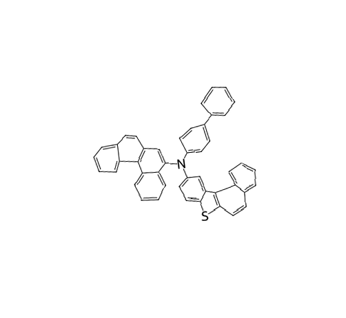 c1ccc(-c2ccc(N(c3ccc4sc5ccc6ccccc6c5c4c3)c3cc4ccc5ccccc5c4c4ccccc34)cc2)cc1